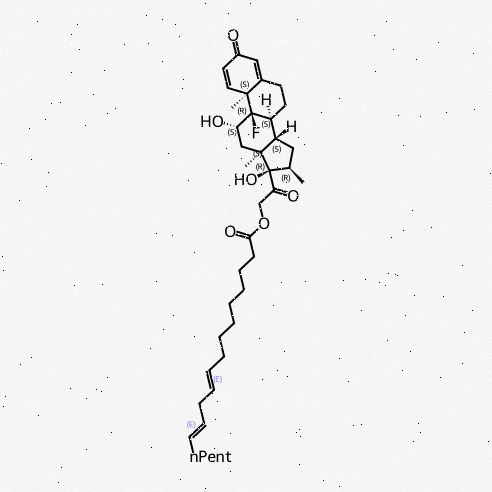 CCCCC/C=C/C/C=C/CCCCCCCC(=O)OCC(=O)[C@@]1(O)[C@H](C)C[C@H]2[C@@H]3CCC4=CC(=O)C=C[C@]4(C)[C@@]3(F)[C@@H](O)C[C@@]21C